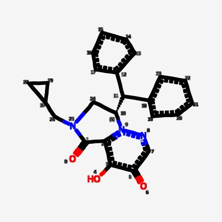 O=C1c2c(O)c(=O)cnn2[C@@H](C(c2ccccc2)c2ccccc2)CN1CC1CC1